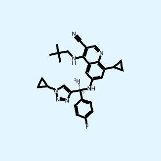 [2H][C@](Nc1cc(C2CC2)c2ncc(C#N)c(NCC(C)(C)C)c2c1)(c1ccc(F)cc1)c1cn(C2CC2)nn1